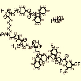 CCCN(CCCCCC(=O)N(C)CCN1CCC(OC(=O)Nc2ccccc2-c2ccccc2)CC1)Cc1ccc(C(=O)N(C)CCCN(C)C(=O)CO[C@H]2Cc3ccccc3C23CCN(CC[C@@]2(c4ccc(F)cc4)CN(C(=O)c4cc(C(F)(F)F)cc(C(F)(F)F)c4)CO2)CC3)s1.Cl.Cl.Cl